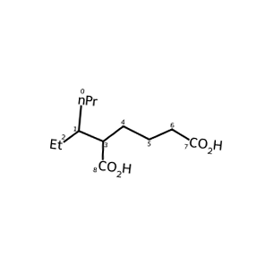 CCCC(CC)C(CCCC(=O)O)C(=O)O